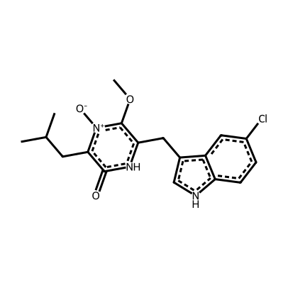 COc1c(Cc2c[nH]c3ccc(Cl)cc23)[nH]c(=O)c(CC(C)C)[n+]1[O-]